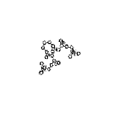 c1ccc(-c2nc(-c3ccccc3)nc(-c3cccc(-c4ccc(-c5cc(-c6cccc(-n7c8ccccc8c8cc(-c9cccc(-c%10cccc(-c%11cccc(-c%12ccc%13c(c%12)c%12ccccc%12n%13-c%12cccc(-c%13cc(-c%14ccc(-c%15cccc(-c%16nc(-c%17ccccc%17)nc(-c%17ccccc%17)n%16)c%15)cc%14)c%14oc%15ccccc%15c%14c%13)c%12)c%11)c%10)c9)ccc87)c6)cc6c5oc5ccccc56)cc4)c3)n2)cc1